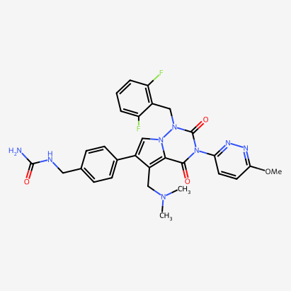 COc1ccc(-n2c(=O)c3c(CN(C)C)c(-c4ccc(CNC(N)=O)cc4)cn3n(Cc3c(F)cccc3F)c2=O)nn1